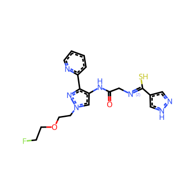 O=C(C/N=C(\S)c1cn[nH]c1)Nc1cn(CCOCCF)nc1-c1ccccn1